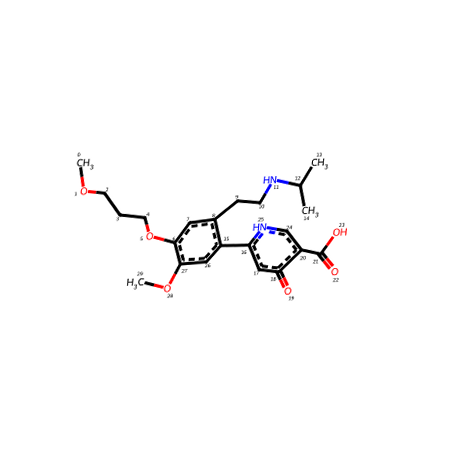 COCCCOc1cc(CCNC(C)C)c(-c2cc(=O)c(C(=O)O)c[nH]2)cc1OC